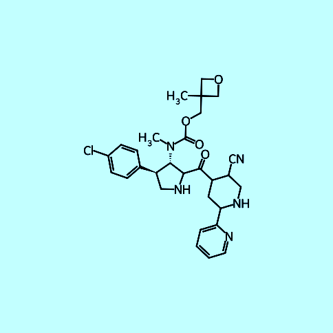 CN(C(=O)OCC1(C)COC1)[C@@H]1C(C(=O)C2CC(c3ccccn3)NCC2C#N)NC[C@H]1c1ccc(Cl)cc1